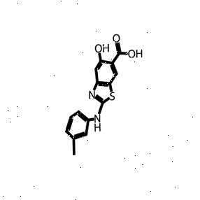 Cc1cccc(Nc2nc3cc(O)c(C(=O)O)cc3s2)c1